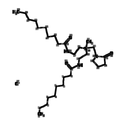 CCCCCCCCCC(=O)NCC[N+](C)(CCNC(=O)CCCCCCCCC)CN1CCCC1=O.[Cl-]